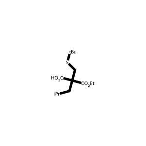 CCOC(=O)C(CSC(C)(C)C)(CC(C)C)C(=O)O